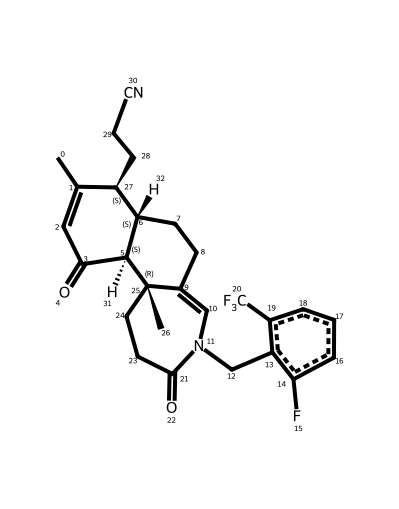 CC1=CC(=O)[C@H]2[C@@H](CCC3=CN(Cc4c(F)cccc4C(F)(F)F)C(=O)CC[C@@]32C)[C@@H]1CCC#N